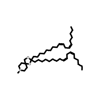 CCCCC/C=C\C/C=C\CCCCCCCCC1(CCCCCCCC/C=C\C/C=C\CCCCC)OCC2(CCN(C)CC2)O1